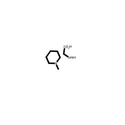 CCCCCCCC(=O)O.CN1CCCCC1